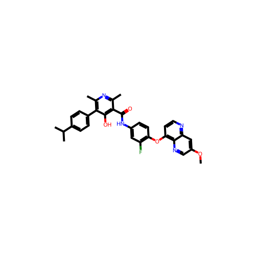 COc1cnc2c(Oc3ccc(NC(=O)c4c(C)nc(C)c(-c5ccc(C(C)C)cc5)c4O)cc3F)ccnc2c1